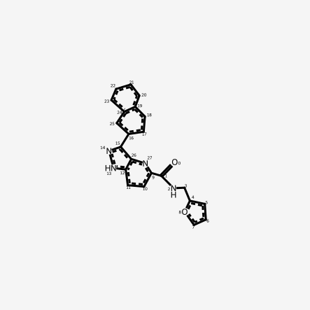 O=C(NCc1ccco1)c1ccc2[nH]nc(-c3ccc4ccccc4c3)c2n1